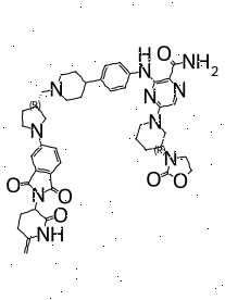 C=C1CCC(N2C(=O)c3ccc(N4CC[C@H](CN5CCC(c6ccc(Nc7nc(N8CCC[C@@H](N9CCOC9=O)C8)cnc7C(N)=O)cc6)CC5)C4)cc3C2=O)C(=O)N1